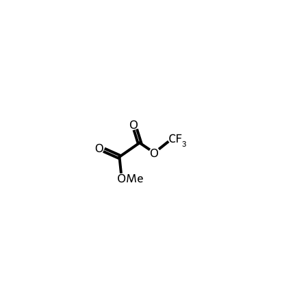 COC(=O)C(=O)OC(F)(F)F